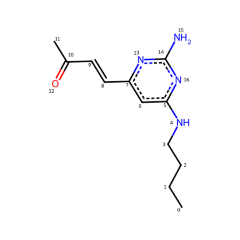 CCCCNc1cc(/C=C/C(C)=O)nc(N)n1